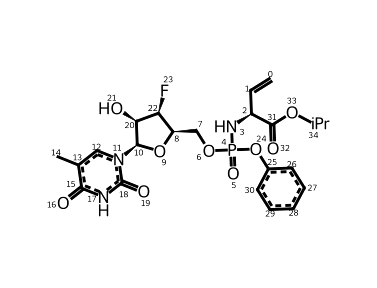 C=C[C@H](NP(=O)(OC[C@H]1O[C@@H](n2cc(C)c(=O)[nH]c2=O)[C@@H](O)[C@H]1F)Oc1ccccc1)C(=O)OC(C)C